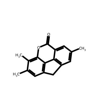 Cc1cc2c3c(c1)c(=O)oc1c(C)c(C)cc(c13)C2